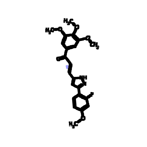 COc1ccc(-c2cc(/C=C/C(=O)c3cc(OC)c(OC)c(OC)c3)[nH]n2)c(F)c1